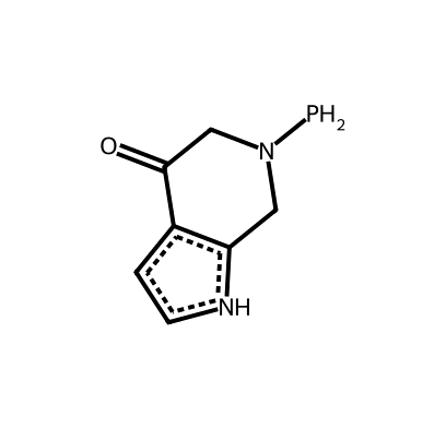 O=C1CN(P)Cc2[nH]ccc21